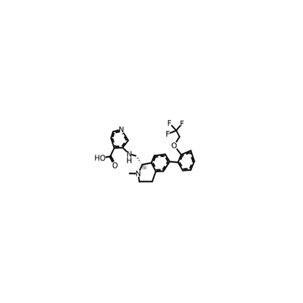 CN1CCc2cc(-c3ccccc3OCC(F)(F)F)ccc2[C@H]1CNc1cnccc1C(=O)O